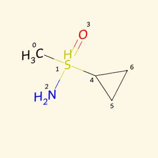 C[SH](N)(=O)C1CC1